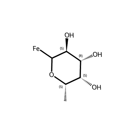 C[C@@H]1O[CH]([Fe])[C@@H](O)[C@H](O)[C@@H]1O